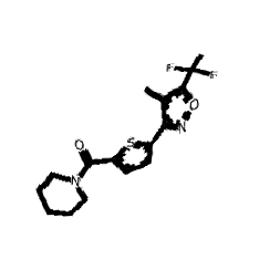 Cc1c(-c2ccc(C(=O)N3CCCCC3)s2)noc1C(C)(F)F